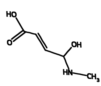 CNC(O)/C=C/C(=O)O